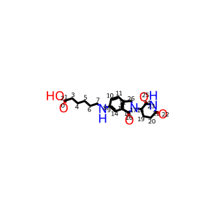 O=C(O)CCCCCNc1ccc2c(c1)C(=O)N(C1CCC(=O)NC1=O)C2